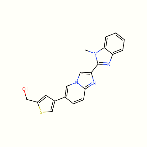 Cn1c(-c2cn3cc(-c4csc(CO)c4)ccc3n2)nc2ccccc21